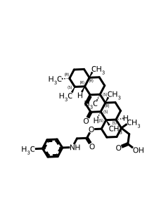 Cc1ccc(NCC(=O)OC2CCC(C)(CC(=O)O)[C@@H]3CC[C@]4(C)[C@H](C(=O)C=C5[C@@H]6[C@@H](C)[C@H](C)CC[C@]6(C)CC[C@]54C)[C@@]23C)cc1